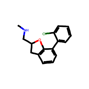 CNCC1Cc2cccc(-c3ccccc3Cl)c2O1